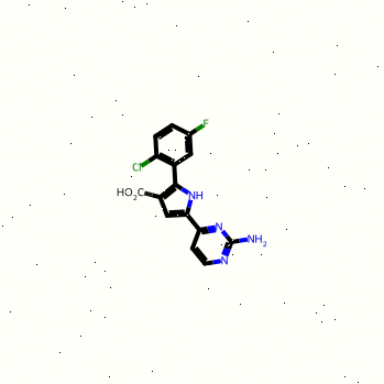 Nc1nccc(-c2cc(C(=O)O)c(-c3cc(F)ccc3Cl)[nH]2)n1